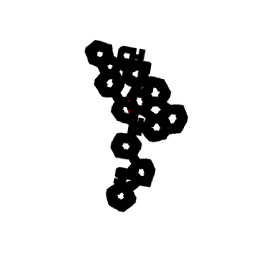 CC1(c2ccccc2)c2ccccc2-c2ccc(-c3ccc(N(c4cccc(-c5cccc6c5sc5ccccc56)c4)c4ccccc4-c4cccc5cccc(-c6ccccc6)c45)cc3)cc21